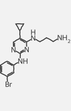 NCCCNc1nc(Nc2cccc(Br)c2)ncc1C1CC1